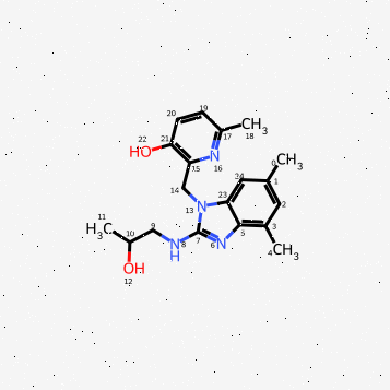 Cc1cc(C)c2nc(NCC(C)O)n(Cc3nc(C)ccc3O)c2c1